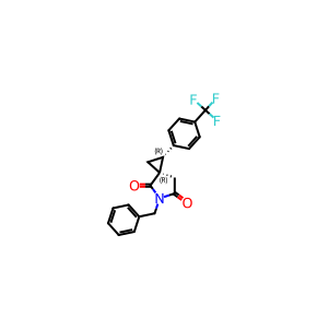 O=C1C[C@@]2(C[C@@H]2c2ccc(C(F)(F)F)cc2)C(=O)N1Cc1ccccc1